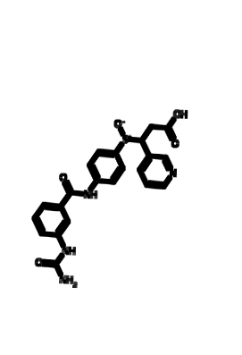 NC(=O)Nc1cccc(C(=O)Nc2ccc([S+]([O-])C(CC(=O)O)c3cccnc3)cc2)c1